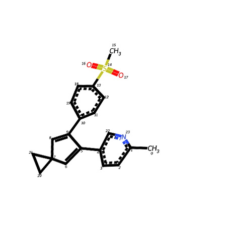 Cc1ccc(C2=CC3(C=C2c2ccc(S(C)(=O)=O)cc2)CC3)cn1